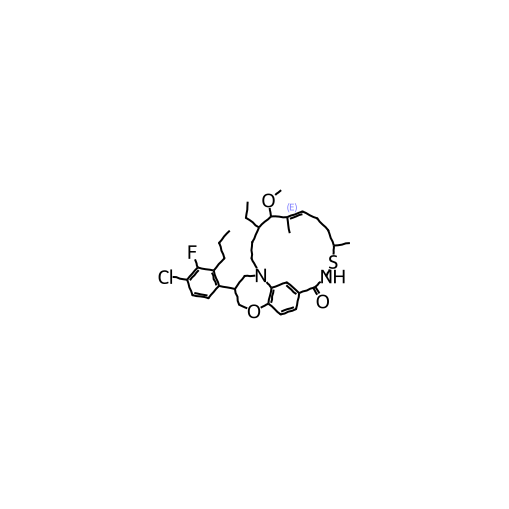 CCCc1c(C2COc3ccc4cc3N(CCC(CC)C(OC)/C(C)=C/CCC(C)SNC4=O)C2)ccc(Cl)c1F